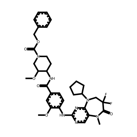 COc1cc(C(=O)NC2CCN(C(=O)OCc3ccccc3)CC2OC)ccc1Nc1ncc2c(n1)N(C1CCCC1)CC(F)(F)C(=O)N2C